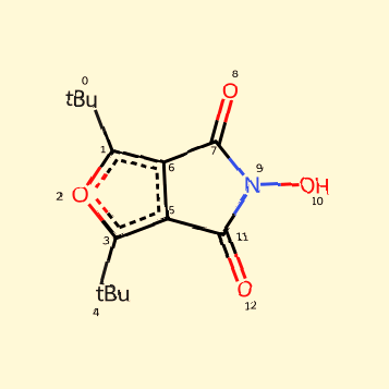 CC(C)(C)c1oc(C(C)(C)C)c2c1C(=O)N(O)C2=O